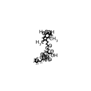 CC1=C(CCC(=O)OCC2=C(C(=O)O)N3C(=O)[C@H](NC(=O)Cc4cccs4)[C@@H]3[S@@+]([O-])C2)C2=C(C)C3(CC3)[C@@](C)(O)C(=O)C2=C1